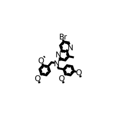 COc1ccc(CN(Cc2ccc(OC)cc2OC)c2cc(C)c3ncc(Br)cc3n2)c(OC)c1